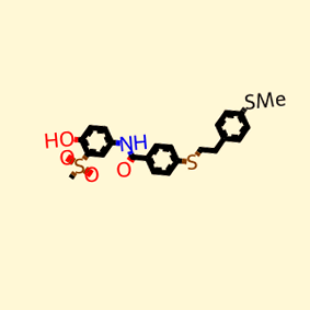 CSc1ccc(CCSc2ccc(C(=O)Nc3ccc(O)c(S(C)(=O)=O)c3)cc2)cc1